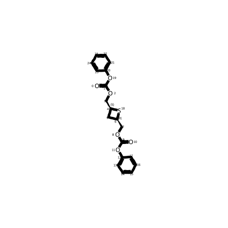 O=C(OC[C@@H]1C[C@H](COC(=O)Oc2ccccc2)S1)Oc1ccccc1